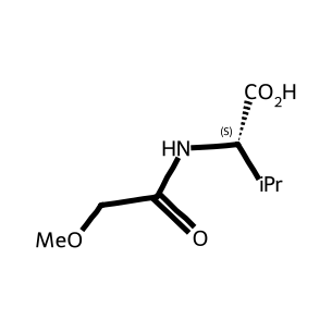 COCC(=O)N[C@H](C(=O)O)C(C)C